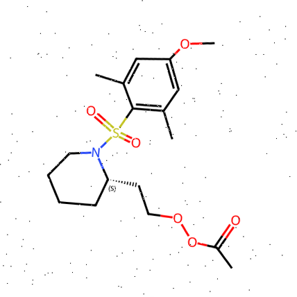 COc1cc(C)c(S(=O)(=O)N2CCCC[C@H]2CCOOC(C)=O)c(C)c1